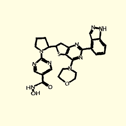 O=C(NO)c1cnc(N2CCCC2C2Cc3nc(-c4cccc5[nH]ncc45)nc(N4CCOCC4)c3S2)nc1